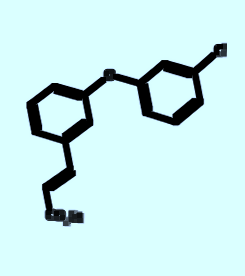 CCOC(=O)C=Cc1cccc(Oc2cccc(Cl)c2)c1